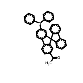 CC(=O)c1ccc2c(c1)C1(c3ccccc3-c3ccccc31)c1cc(N(c3ccccc3)c3ccccc3)ccc1-2